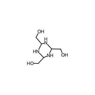 OCC1NC(CO)NC(CO)N1